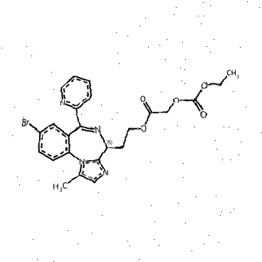 CCOC(=O)OCC(=O)OCC[C@@H]1N=C(c2ccccn2)c2cc(Br)ccc2-n2c(C)cnc21